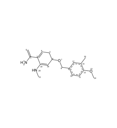 C=C(N)C1=CCC(OCc2ccc(OC)c(C)c2)C=C1NC